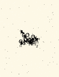 C=CCOC(=O)N1C[C@@H](SC(C)=O)C[C@H]1CN(C(=O)OC(C)(C)C)S(N)(=O)=O